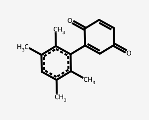 Cc1cc(C)c(C)c(C2=CC(=O)C=CC2=O)c1C